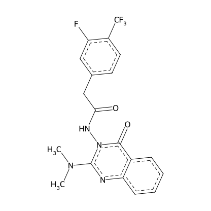 CN(C)c1nc2ccccc2c(=O)n1NC(=O)Cc1ccc(C(F)(F)F)c(F)c1